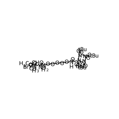 Cc1cc(C)c(NC(=O)CC[C@@H](N)C(=O)NCCOCCOCCOCCOCCOCCNC(=O)CCC(C(=O)OC(C)(C)C)N2CCN(CC(=O)OC(C)(C)C)CCN(CC(=O)OC(C)(C)C)CCN(CC(=O)OC(C)(C)C)CC2)c(C)c1Br